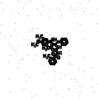 COc1cc(C)c(N(C)C(=O)[C@H](Cc2ccccc2)NC(=O)NS(=O)(=O)c2ccccc2C)cc1C